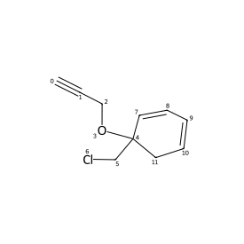 C#CCOC1(CCl)C=CC=CC1